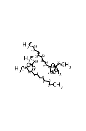 CCCCCCCCC(CCC)OC(=O)CC.CCCCCCCCCC(CC)OC(=O)CC